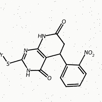 CCCSc1nc2c(c(=O)[nH]1)C(c1ccccc1[N+](=O)[O-])CC(=O)N2